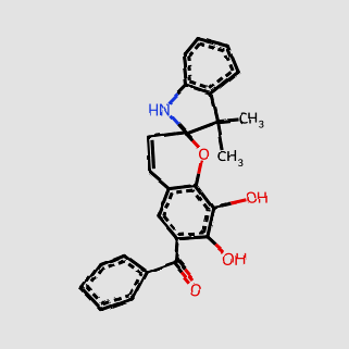 CC1(C)c2ccccc2NC12C=Cc1cc(C(=O)c3ccccc3)c(O)c(O)c1O2